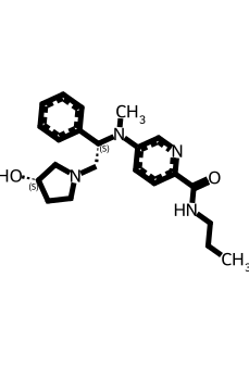 CCCNC(=O)c1ccc(N(C)[C@H](CN2CC[C@H](O)C2)c2ccccc2)cn1